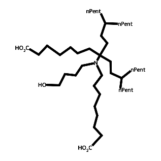 CCCCCC(CCCCC)CCC(CCCCCCC(=O)O)(CCC(CCCCC)CCCCC)N(CCCCO)CCCCCCCC(=O)O